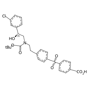 CC(C)(C)OC(=O)N(CCc1ccc(S(=O)(=O)c2ccc(C(=O)O)cc2)cc1)C[C@@H](O)c1cccc(Cl)c1